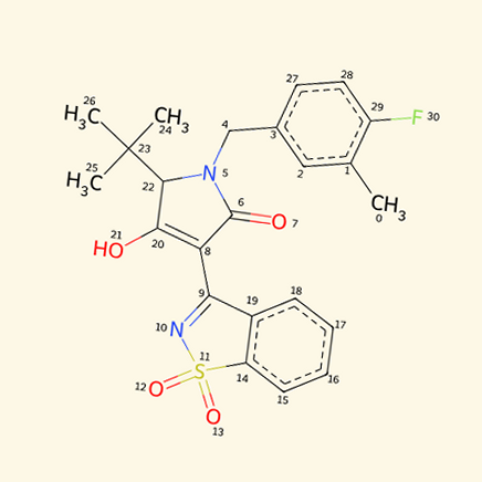 Cc1cc(CN2C(=O)C(C3=NS(=O)(=O)c4ccccc43)=C(O)C2C(C)(C)C)ccc1F